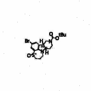 CC(C)(C)OC(=O)N1CC[C@H]2[C@@H](C1)c1cc(Br)cc3c1N2CCC[S+]3[O-]